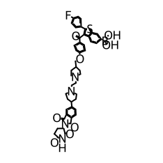 O=C1CCC(N2C(=O)c3ccc(C4CCN(CCN5CCC(COc6ccc(C(=O)c7c(-c8ccc(F)cc8)sc8cc(B(O)O)ccc78)cc6)CC5)CC4)cc3C2=O)C(=O)N1